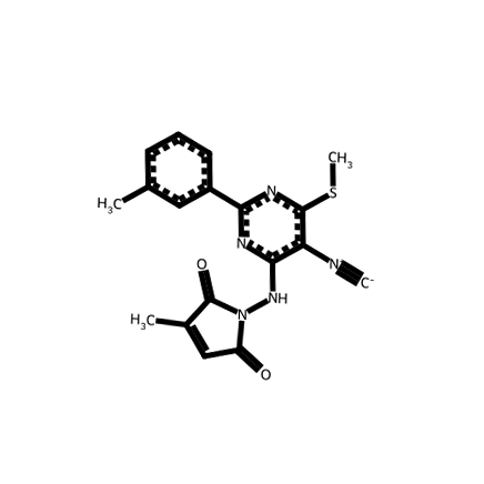 [C-]#[N+]c1c(NN2C(=O)C=C(C)C2=O)nc(-c2cccc(C)c2)nc1SC